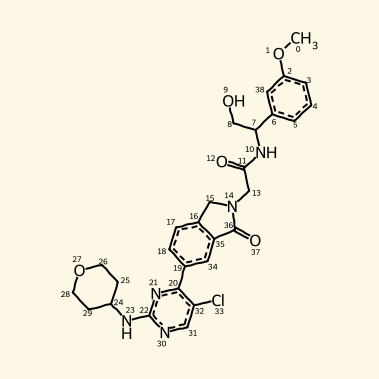 COc1cccc(C(CO)NC(=O)CN2Cc3ccc(-c4nc(NC5CCOCC5)ncc4Cl)cc3C2=O)c1